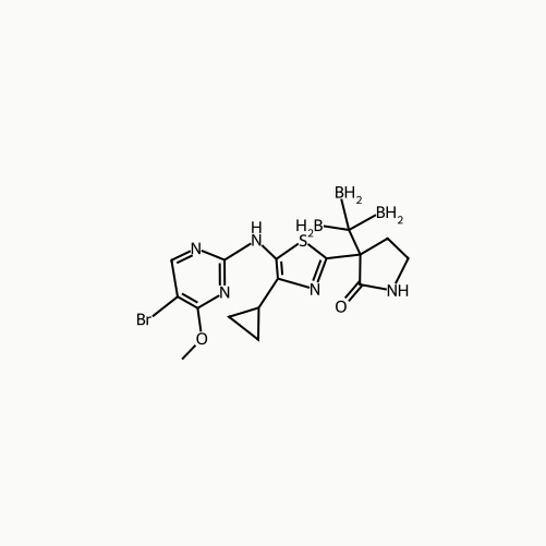 BC(B)(B)C1(c2nc(C3CC3)c(Nc3ncc(Br)c(OC)n3)s2)CCNC1=O